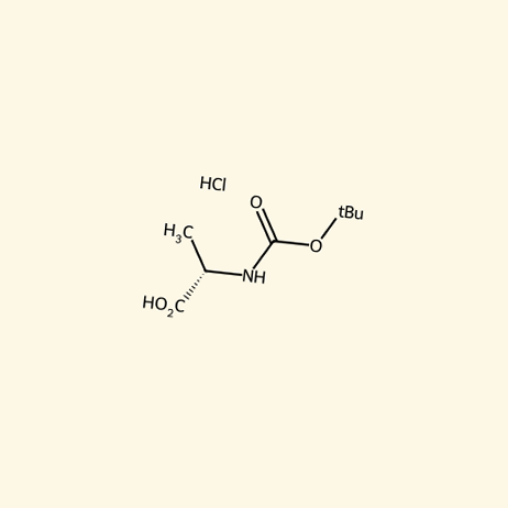 C[C@H](NC(=O)OC(C)(C)C)C(=O)O.Cl